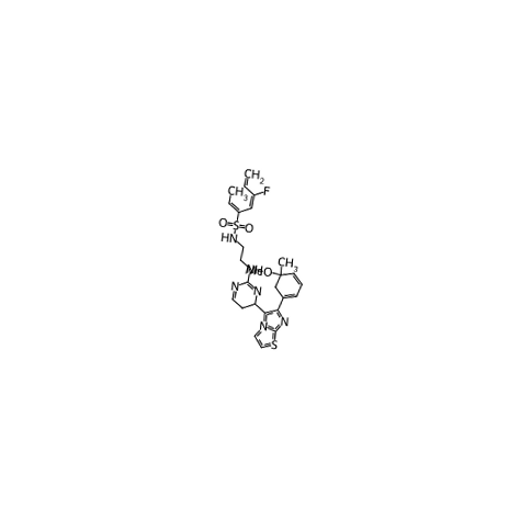 C=C/C(F)=C\C(=C/C)S(=O)(=O)NCCNC1=NC(c2c(C3=CC=CC(C)(OC)C3)nc3sccn23)CC=N1